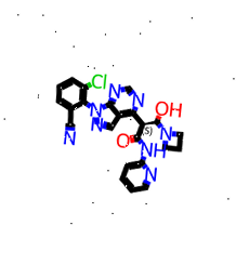 N#Cc1cccc(Cl)c1-n1ncc2c([C@H](C(=O)Nc3ccccn3)C(O)N3CCC3)ncnc21